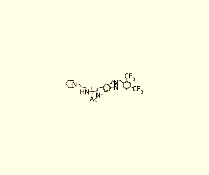 CC(=O)N(C)/C(=C\c1ccc2nn(Cc3ccc(C(F)(F)F)cc3C(F)(F)F)cc2c1)C(C)(C)NCCCN1CCCCC1